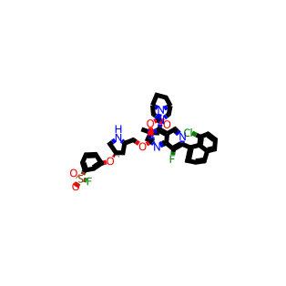 CC(C)(C)OC(=O)N1C2CCC1CN(c1nc(OCC3C[C@@H](Oc4cccc(S(=O)(=O)F)c4)CN3)nc3c(F)c(-c4cccc5cccc(Cl)c45)ncc13)C2